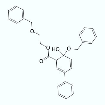 O=C(OCCOCc1ccccc1)C1C=C(c2ccccc2)C=CC1(O)OCc1ccccc1